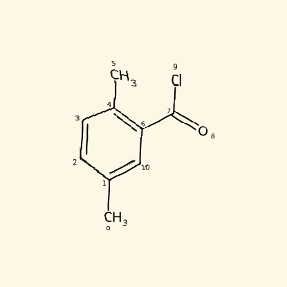 Cc1ccc(C)c(C(=O)Cl)c1